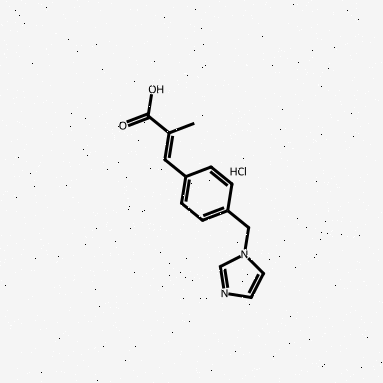 C/C(=C\c1ccc(Cn2ccnc2)cc1)C(=O)O.Cl